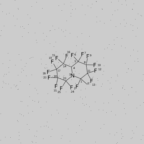 CC1(F)N2C(C(F)(F)C(F)(F)C1(F)F)C(F)(F)C(F)(F)C(F)(F)C2(F)F